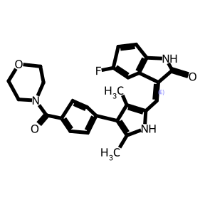 Cc1[nH]c(/C=C2/C(=O)Nc3ccc(F)cc32)c(C)c1-c1ccc(C(=O)N2CCOCC2)cc1